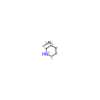 C1CCNCC1.[CH3][Al]